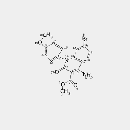 COC(=O)c1c(N)c2ccc(Br)cc2n(-c2ccc(OC)cc2)c1=O